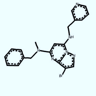 CN(Cc1ccccc1)c1cc(NCc2cccnc2)n2ncc(Br)c2n1